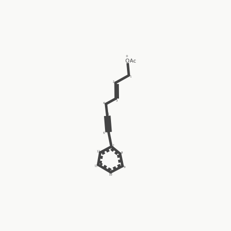 CC(=O)OC/C=C/CC#Cc1ccccc1